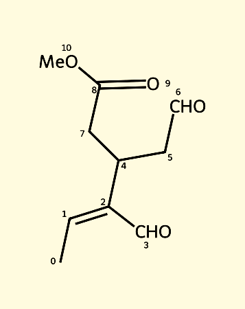 C/C=C(\C=O)C(CC=O)CC(=O)OC